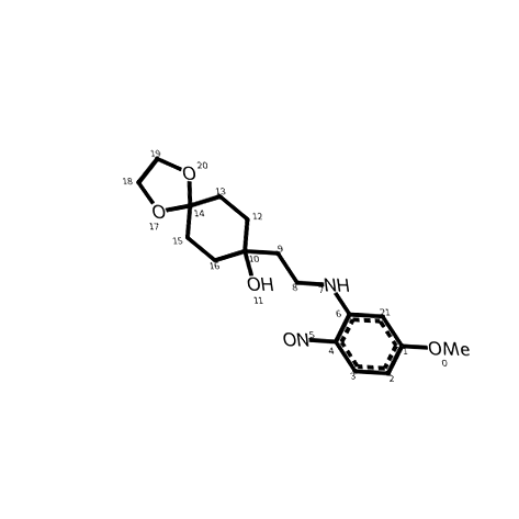 COc1ccc(N=O)c(NCCC2(O)CCC3(CC2)OCCO3)c1